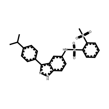 CC(C)c1ccc(-c2n[nH]c3ccc(NS(=O)(=O)c4ccccc4S(C)(=O)=O)cc23)cc1